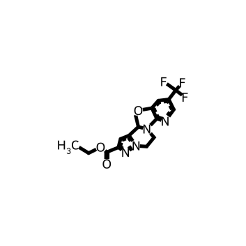 CCOC(=O)c1cc2n(n1)CCN1c3ncc(C(F)(F)F)cc3OCC21